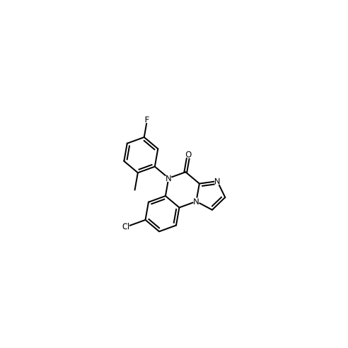 Cc1ccc(F)cc1-n1c(=O)c2nccn2c2ccc(Cl)cc21